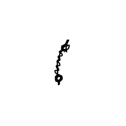 Cc1ccc(OCCOCCCOCc2cc(C)on2)cc1